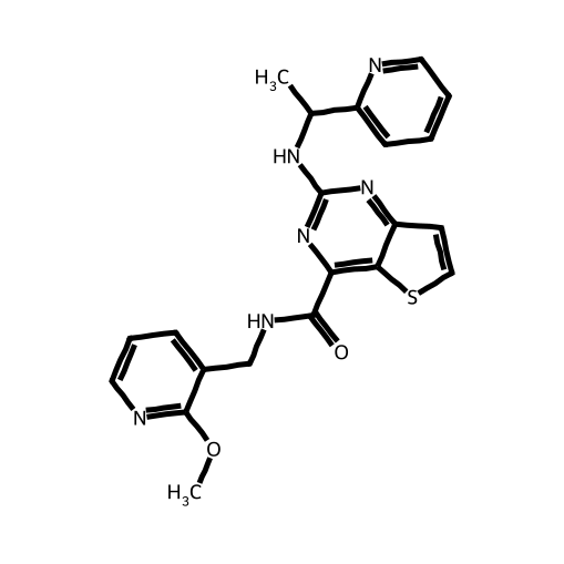 COc1ncccc1CNC(=O)c1nc(NC(C)c2ccccn2)nc2ccsc12